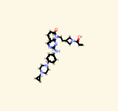 C=CC(=O)N1CC(CCn2c(=O)ccc3cnc(Nc4ccc(N5CCN(C6CC6)CC5)cc4)nc32)C1